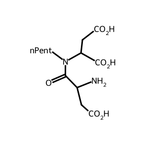 CCCCCN(C(=O)C(N)CC(=O)O)C(CC(=O)O)C(=O)O